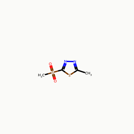 Cc1nnc(S(C)(=O)=O)s1